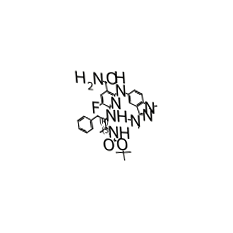 C[C@H](NC(=O)OC(C)(C)C)[C@@H](Cc1ccccc1)Nc1nc(Nc2ccc3c(c2)c(N(C)C)nn3C)c(C(N)=O)cc1F